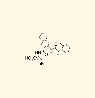 Cc1ccccc1NC(=O)Nc1cc2ccccc2cc1C(=O)N[C@@H](CC(C)C)C(=O)O